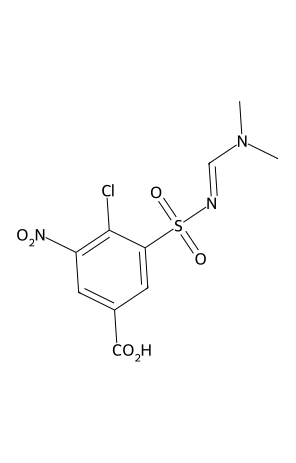 CN(C)C=NS(=O)(=O)c1cc(C(=O)O)cc([N+](=O)[O-])c1Cl